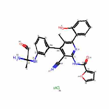 Cc1c(-c2ccccc2O)nc(NC(=O)c2ccco2)c(C#N)c1-c1cccc(N[C@](C)(N)C=O)c1.Cl